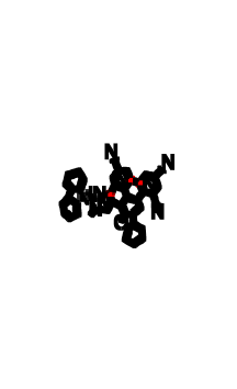 CN1CC(c2c(-c3c(C#N)cc(C#N)cc3C#N)c(-c3c(C#N)cc(C#N)cc3C#N)cc3c2oc2ccccc23)CNC1n1c2ccccc2c2ccccc21